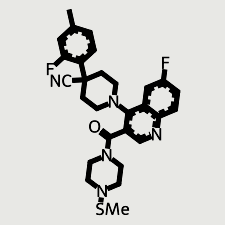 CSN1CCN(C(=O)c2cnc3ccc(F)cc3c2N2CCC(C#N)(c3ccc(C)cc3F)CC2)CC1